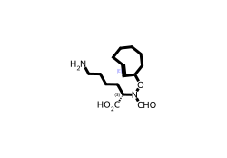 NCCCC[C@@H](C(=O)O)N(C=O)OC1/C=C/CCCCC1